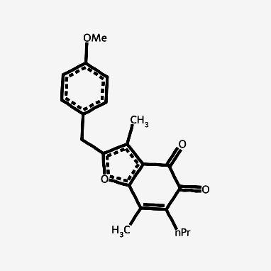 CCCC1=C(C)c2oc(Cc3ccc(OC)cc3)c(C)c2C(=O)C1=O